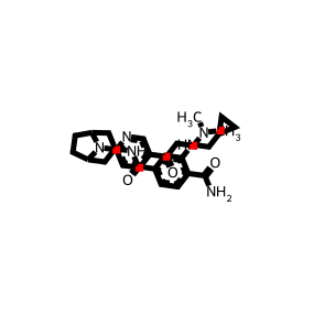 CN(C)CCC(=O)c1ccc(N2C3CCC2CC(NC(=O)c2ccc(C(N)=O)c(NCC4CC4)c2)C3)nc1